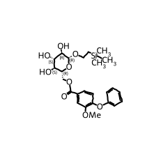 COc1cc(C(=O)OC[C@H]2O[C@@H](OCC[Si](C)(C)C)[C@H](O)[C@@H](O)[C@@H]2O)ccc1Oc1ccccc1